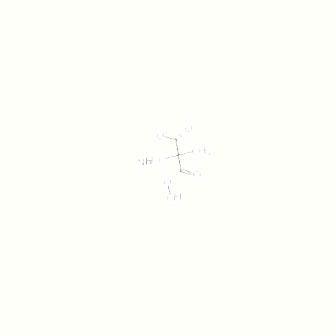 COC(=O)C(C)(C)C(=O)[O-].[Na+]